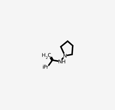 C=C(NN1CCCC1)C(C)C